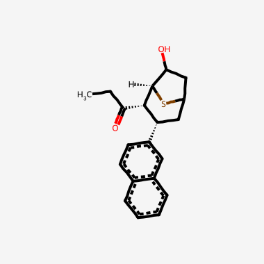 CCC(=O)[C@H]1[C@@H](c2ccc3ccccc3c2)CC2CC(O)[C@H]1S2